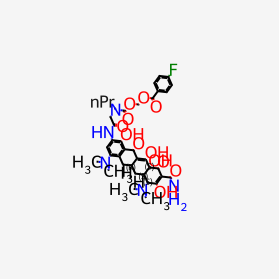 CCCN(CC(=O)Nc1cc(N(C)C)c2c(c1O)C(=O)C1=C(O)[C@]3(O)C(=O)C(C(N)=O)=C(O)[C@@H](N(C)C)[C@@H]3C[C@@H]1C2)C(=O)OCOC(=O)c1ccc(F)cc1